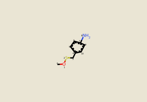 COSCc1ccc(N)cc1